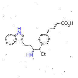 CCC(C(=N)CCc1c[nH]c2ccccc12)c1ccc(C/C=C/C(=O)O)cc1